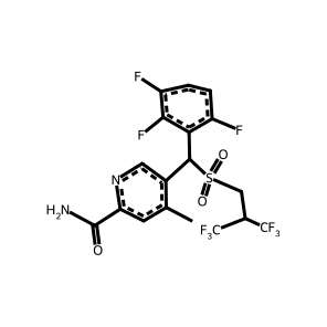 Cc1cc(C(N)=O)ncc1C(c1c(F)ccc(F)c1F)S(=O)(=O)CC(C(F)(F)F)C(F)(F)F